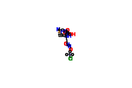 Cc1ncsc1-c1ccc(CNC(=O)[C@@H]2C[C@@H](O)CN2C(=O)[C@@H](NCCCCCCC(=O)N2CCN(CCOc3ccc(/C(=C(/CCCl)c4ccccc4)c4ccccc4)cc3)CC2)C(C)(C)C)cc1